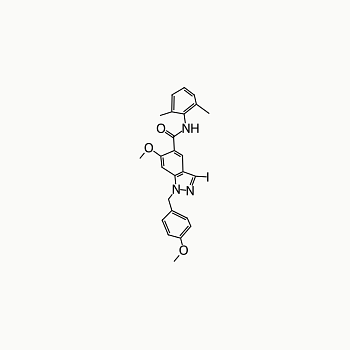 COc1ccc(Cn2nc(I)c3cc(C(=O)Nc4c(C)cccc4C)c(OC)cc32)cc1